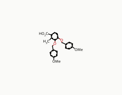 COc1ccc(COc2ccc(C(=O)O)c(C)c2OCc2ccc(OC)cc2)cc1